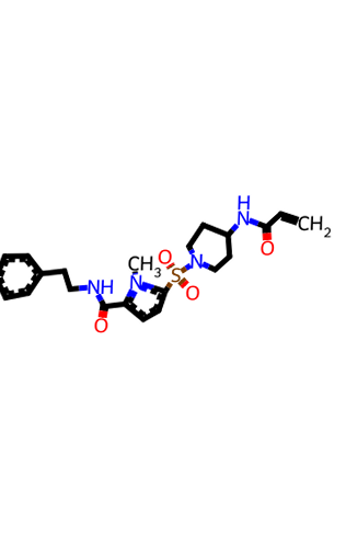 C=CC(=O)NC1CCN(S(=O)(=O)c2ccc(C(=O)NCCc3ccccc3)n2C)CC1